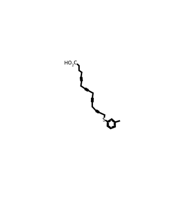 Cc1cccc(SCC#CCC#CCC#CCC#CCCCC(=O)O)c1